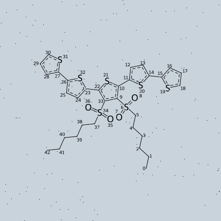 CCCCCCS(=O)(=O)c1c(-c2ccc(-c3cccs3)s2)sc(-c2ccc(-c3cccs3)s2)c1S(=O)(=O)CCCCCC